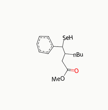 CCCCC(CC(=O)OC)C([SeH])c1ccccc1